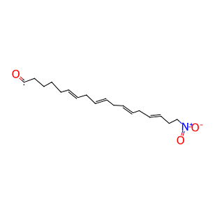 O=[C]CCCCC=CCC=CCC=CCC=CCC[N+](=O)[O-]